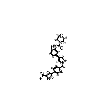 O=C(Nc1cccc(-c2cnn(Cc3ccc(-c4nnc(C(F)F)o4)cn3)c2)c1)N1CCOCC1